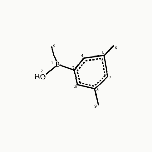 CB(O)c1cc(C)cc(C)c1